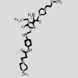 CCN1C(=O)[C@@H](CNc2ccc(NC(=O)CCN3CCN(C)CC3)cc2)S/C1=C(/N)C(=O)N1CCN(CCOC)CC1